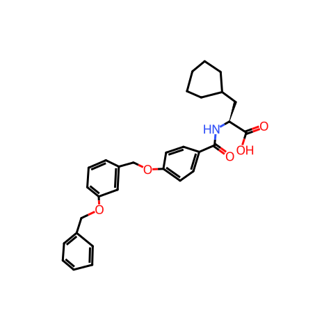 O=C(N[C@@H](CC1CCCCC1)C(=O)O)c1ccc(OCc2cccc(OCc3ccccc3)c2)cc1